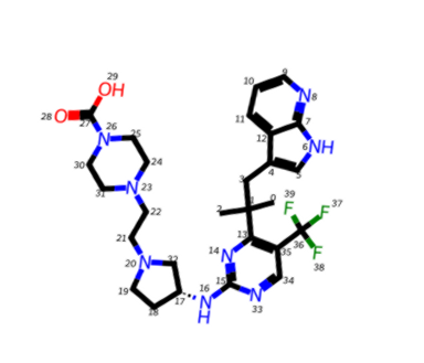 CC(C)(Cc1c[nH]c2ncccc12)c1nc(N[C@@H]2CCN(CCN3CCN(C(=O)O)CC3)C2)ncc1C(F)(F)F